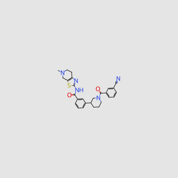 CN1CCc2nc(NC(=O)c3cccc(C4CCCN(C(=O)c5cccc(C#N)c5)C4)c3)sc2C1